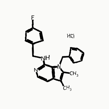 Cc1c(C)n(Cc2ccccc2)c2c(NCc3ccc(F)cc3)nccc12.Cl